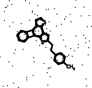 Cc1ccc(CCc2cc3c(s2)c2c(c4ccsc43)-c3ccccc3-2)cc1